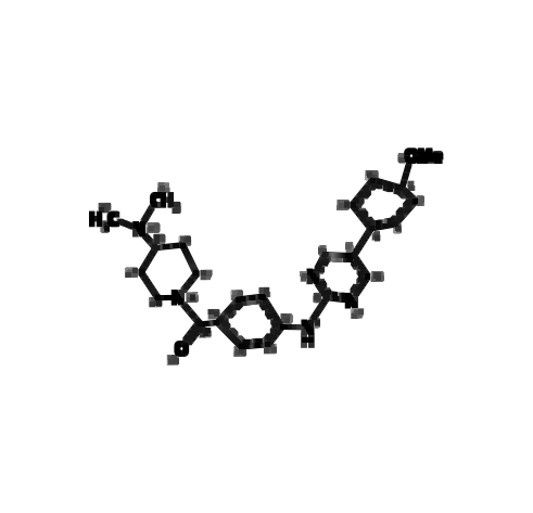 COc1ccc(-c2cnc(Nc3ccc(C(=O)N4CCC(N(C)C)CC4)cc3)nc2)cc1